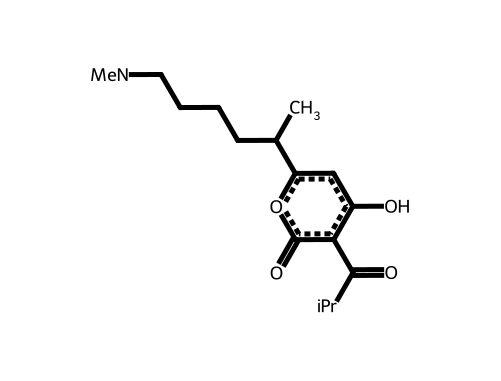 CNCCCCC(C)c1cc(O)c(C(=O)C(C)C)c(=O)o1